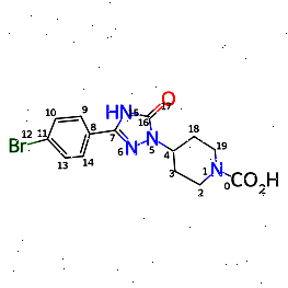 O=C(O)N1CCC(n2nc(-c3ccc(Br)cc3)[nH]c2=O)CC1